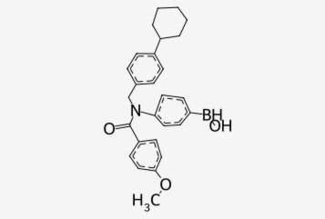 COc1ccc(C(=O)N(Cc2ccc(C3CCCCC3)cc2)c2ccc(BO)cc2)cc1